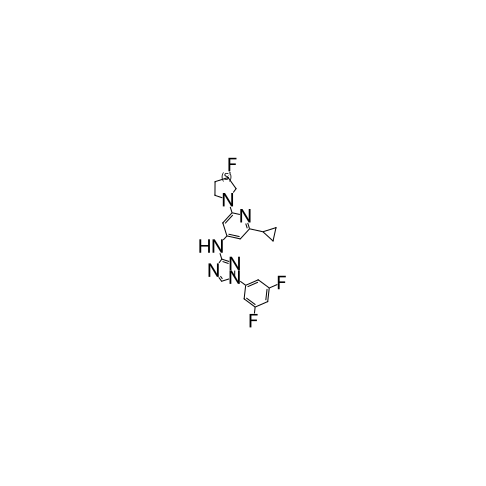 Fc1cc(F)cc(-n2cnc(Nc3cc(C4CC4)nc(N4CC[C@H](F)C4)c3)n2)c1